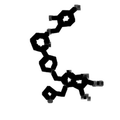 CCc1ccc(COc2cccc(C3=CCN(Cc4nc5[nH]c(C=O)c(P)c5n4CC4CCO4)CC3)n2)c(F)c1